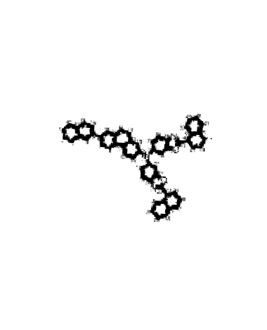 c1ccc2cc(-c3ccc4c(ccc5cc(N(c6ccc7nc(-c8cccc9ccccc89)oc7c6)c6ccc7nc(-c8cccc9ccccc89)oc7c6)ccc54)c3)ccc2c1